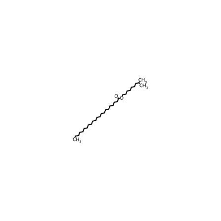 CCCCCCCCCCCCCCCCCCCCCC(=O)OCCCCCCCC(C)C